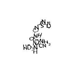 C[C@@H](CO)Nc1nc(C(=O)NCC2CCN(Cc3cnc(-c4ccccn4)s3)CC2)cc(N)c1C#N